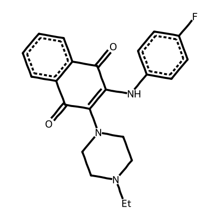 CCN1CCN(C2=C(Nc3ccc(F)cc3)C(=O)c3ccccc3C2=O)CC1